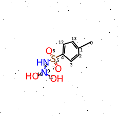 Cc1ccc(S(=O)(=O)NN(O)O)cc1